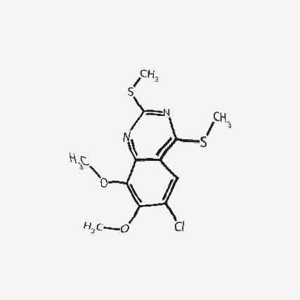 COc1c(Cl)cc2c(SC)nc(SC)nc2c1OC